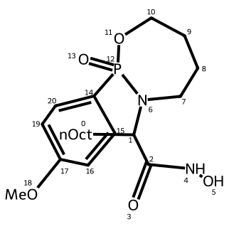 CCCCCCCCC(C(=O)NO)N1CCCCOP1(=O)c1ccc(OC)cc1